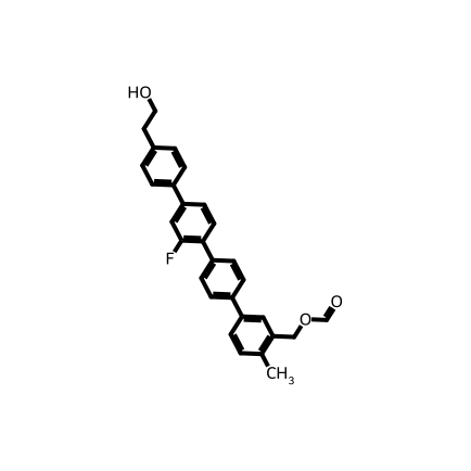 Cc1ccc(-c2ccc(-c3ccc(-c4ccc(CCO)cc4)cc3F)cc2)cc1COC=O